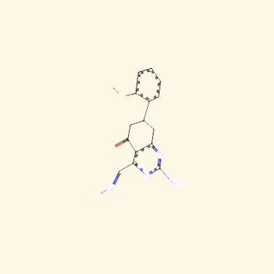 COc1ccccc1C1CC(=O)c2c(C=NO)nc(N)nc2C1